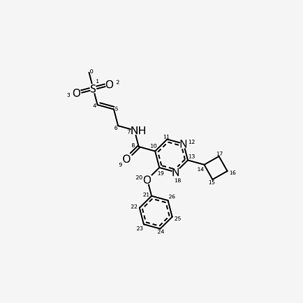 CS(=O)(=O)C=CCNC(=O)c1cnc(C2CCC2)nc1Oc1ccccc1